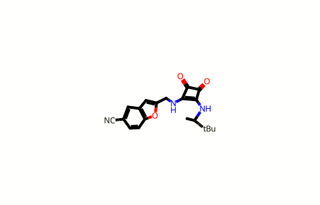 CC(Nc1c(NCc2cc3cc(C#N)ccc3o2)c(=O)c1=O)C(C)(C)C